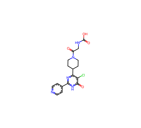 O=C(O)NCC(=O)N1CCC(c2nc(-c3ccncc3)[nH]c(=O)c2Cl)CC1